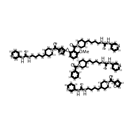 COc1cccc(OC)c1C(=O)N1CCC(CCCCNC(=S)Nc2cccnc2)CC1.O=C(c1ccccc1)N1CCC(CCCCNC(=S)Nc2cccnc2)CC1.O=C(c1ccco1)N1CCC(CCCCNC(=S)Nc2cccnc2)CC1.O=C(c1cccs1)N1CCC(CCCCNC(=S)Nc2cccnc2)CC1